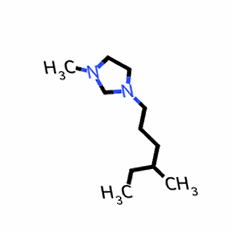 CCC(C)CCCN1CCN(C)C1